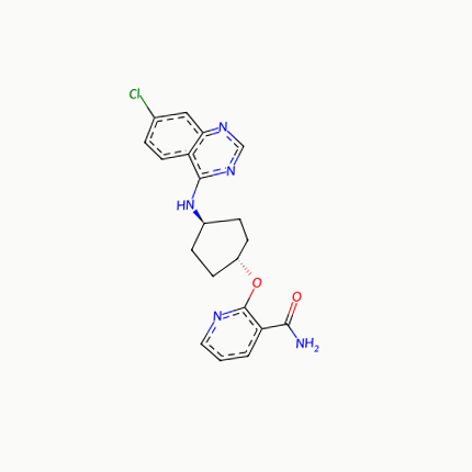 NC(=O)c1cccnc1O[C@H]1CC[C@H](Nc2ncnc3cc(Cl)ccc23)CC1